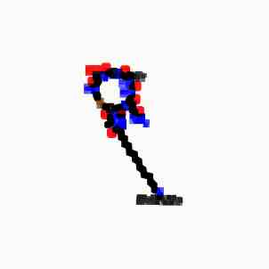 CNC(=NCCCCCCCCCCCCCC/C=C/C(=O)NC(C)C(=O)NC1CCS/C=C\NC(=O)C(CO)NC(=O)CNC(=O)C(CC(C)C)NC(=O)NC(=O)C(CCC(N)=O)NC1=O)NC